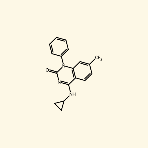 O=c1nc(NC2CC2)c2ccc(C(F)(F)F)cc2n1-c1ccccc1